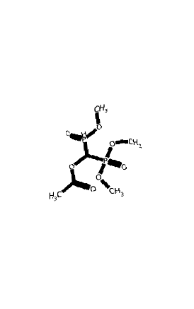 CO[PH](=O)C(OC(C)=O)P(=O)(OC)OC